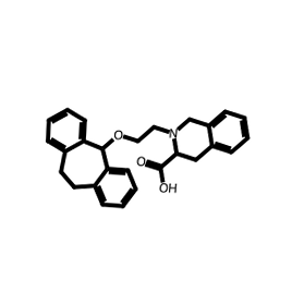 O=C(O)C1Cc2ccccc2CN1CCOC1c2ccccc2CCc2ccccc21